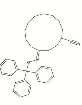 N#CC1CCCCCCCCCC(=NO[Si](c2ccccc2)(c2ccccc2)c2ccccc2)CC1